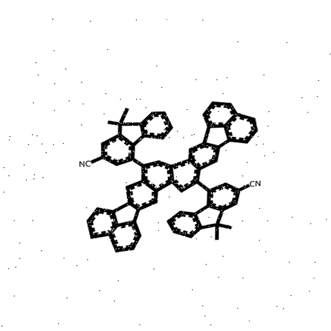 CC1(C)c2ccccc2-c2c(-c3cc4c5cc6c(cc5c(-c5cc(C#N)cc7c5-c5ccccc5C7(C)C)cc4c4cc5c(cc34)-c3cccc4cccc-5c34)-c3cccc4cccc-6c34)cc(C#N)cc21